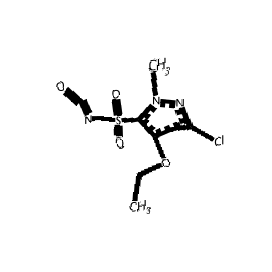 CCOc1c(Cl)nn(C)c1S(=O)(=O)N=C=O